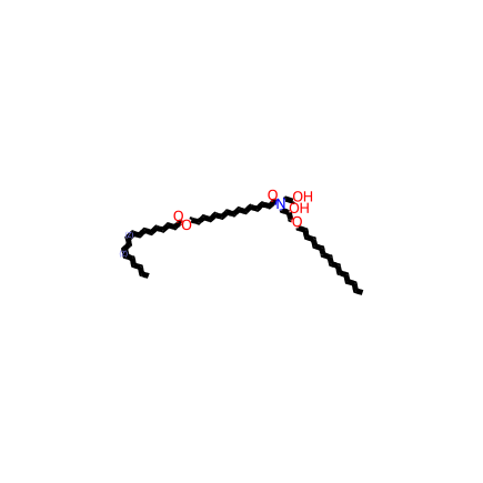 CCCCC/C=C\C/C=C\CCCCCCCC(=O)OCCCCCCCCCCCCCCC(=O)N(CCO)CC(O)COCCCCCCCCCCCCCCCC